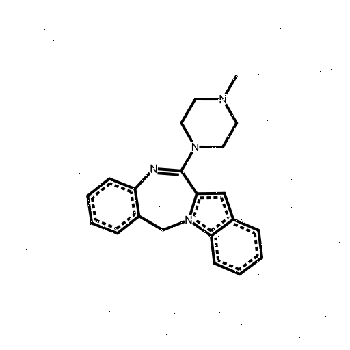 CN1CCN(C2=Nc3ccccc3Cn3c2cc2ccccc23)CC1